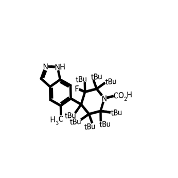 Cc1cc2cn[nH]c2cc1C1(C(C)(C)C)C(F)(C(C)(C)C)C(C(C)(C)C)(C(C)(C)C)N(C(=O)O)C(C(C)(C)C)(C(C)(C)C)C1(C(C)(C)C)C(C)(C)C